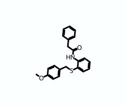 COc1ccc(CSc2ccccc2NC(=O)Cc2ccccc2)cc1